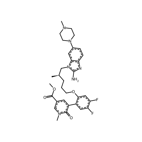 COC(=O)c1cc(-c2cc(F)c(F)cc2OCCC[C@@H](C)Cn2c(N)nc3ccc(N4CCN(C)CC4)cc32)c(=O)n(C)c1